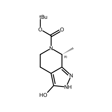 C[C@@H]1c2n[nH]c(O)c2CCN1C(=O)OC(C)(C)C